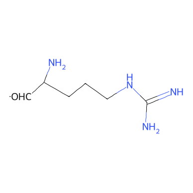 N=C(N)NCCCC(N)[C]=O